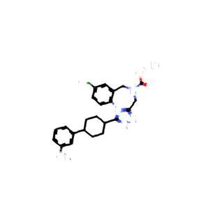 CC(C)(C)OC(=O)N1Cc2cc(Cl)ccc2-n2c(nnc2C2CCC(c3cccc(C#N)c3)CC2)C1